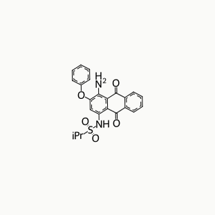 CC(C)S(=O)(=O)Nc1cc(Oc2ccccc2)c(N)c2c1C(=O)c1ccccc1C2=O